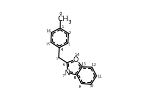 Cc1ccc(Cc2nc3ccccc3o2)cc1